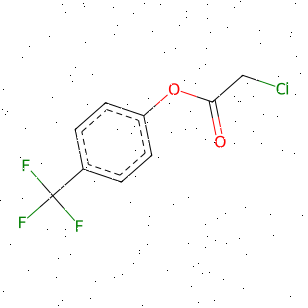 O=C(CCl)Oc1ccc(C(F)(F)F)cc1